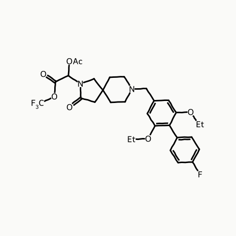 CCOc1cc(CN2CCC3(CC2)CC(=O)N(C(OC(C)=O)C(=O)OC(F)(F)F)C3)cc(OCC)c1-c1ccc(F)cc1